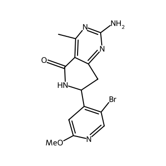 COc1cc(C2Cc3nc(N)nc(C)c3C(=O)N2)c(Br)cn1